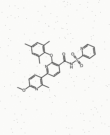 COc1ccc(-c2ccc(C(=O)NS(=O)(=O)c3ccccn3)c(Oc3c(C)cc(C)cc3C)n2)c(C)n1